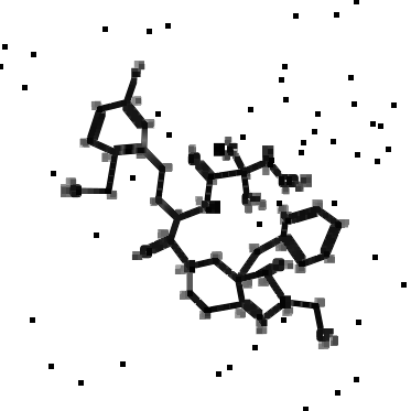 CC(C)(NC(=O)O)C(=O)NC(CCc1cc(F)ccc1CO)C(=O)N1CCC2=NN(CC(F)(F)F)C(=O)C2(Cc2ccccn2)C1